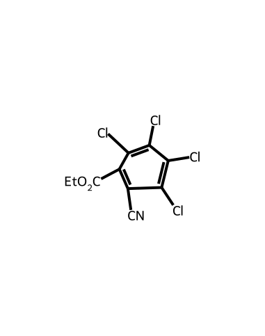 CCOC(=O)c1c(Cl)c(Cl)c(Cl)c(Cl)c1C#N